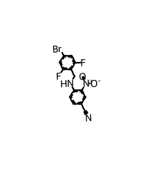 N#Cc1ccc(NCc2c(F)cc(Br)cc2F)c([N+](=O)[O-])c1